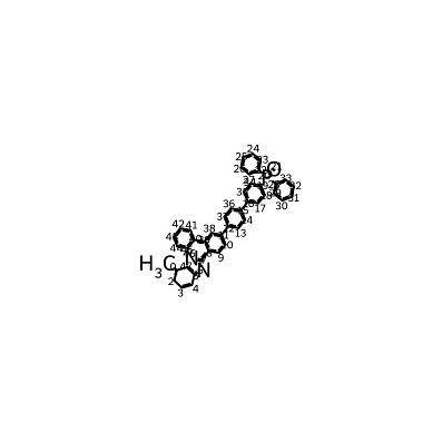 C[C@@H]1CC=Cc2nc3c4ccc(-c5ccc(-c6ccc(P(=O)(c7ccccc7)c7ccccc7)cc6)cc5)cc4c4ccccc4n3c21